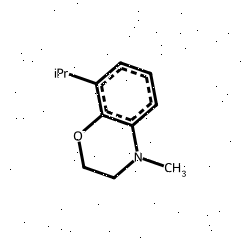 CC(C)c1cccc2c1OCCN2C